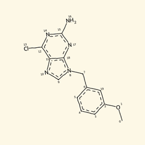 COc1cccc(Cn2cnc3c(Cl)nc(N)nc32)c1